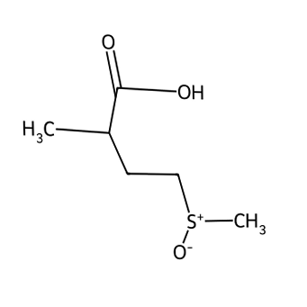 CC(CC[S+](C)[O-])C(=O)O